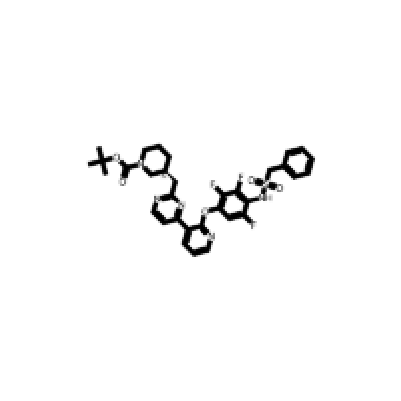 CC(C)(C)OC(=O)N1CCC[C@@H](Cc2nccc(-c3cccnc3Oc3cc(F)c(NS(=O)(=O)Cc4ccccc4)c(F)c3F)n2)C1